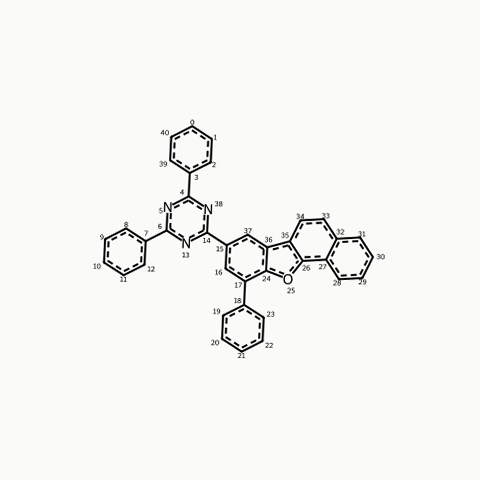 c1ccc(-c2nc(-c3ccccc3)nc(-c3cc(-c4ccccc4)c4oc5c6ccccc6ccc5c4c3)n2)cc1